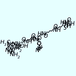 CN(Cc1cnc2nc(N)nc(N)c2n1)c1ccc(C(=O)N[C@@H](CCC(=O)NCCCNC(=O)[C@H](CCCCNC(=O)CCCCCNC(=O)CCCC[C@@H]2SC[C@@H]3NC(=O)N[C@@H]32)NC(=O)c2ccc(N=[N+]=[N-])cc2)C(=O)O)cc1